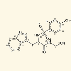 N#CCNC(=O)C(Cc1csc2ccccc12)NS(=O)(=O)c1ccc(Cl)cc1